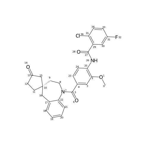 COc1cc(C(=O)N2CC[C@@]3(CCC(=O)C3)Cc3ccccc32)ccc1NC(=O)c1cc(F)ccc1Cl